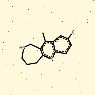 Cc1c2c(nc3ccc(Cl)cc13)CCCNC2